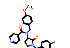 COc1ccc(CN(C(=O)c2ccncc2)C2CCN(Cc3ccc(F)cc3)C2=O)cc1